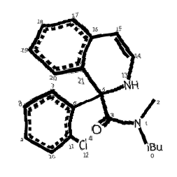 CCC(C)N(C)C(=O)C1(c2ccccc2Cl)NC=Cc2ccccc21